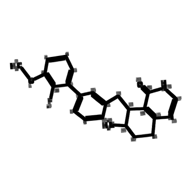 COc1cccc(-c2cccc(CC3c4c(nc[nH]c4=O)CCC3N)c2)c1F